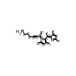 CC1=CC(C)=N/C1=C(/C)c1c(C)cc(C)n1B(F)C#CCCCN